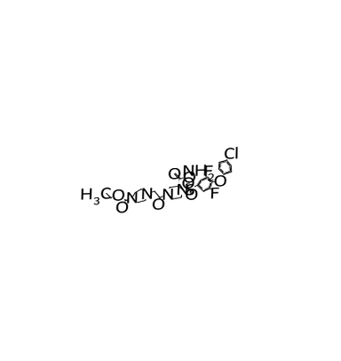 CCOC(=O)N1CCN(CC(=O)N2CCN(S(=O)(=O)c3cc(F)c(Oc4ccc(Cl)cc4)c(F)c3)[C@@H](C(=O)ON)C2)CC1